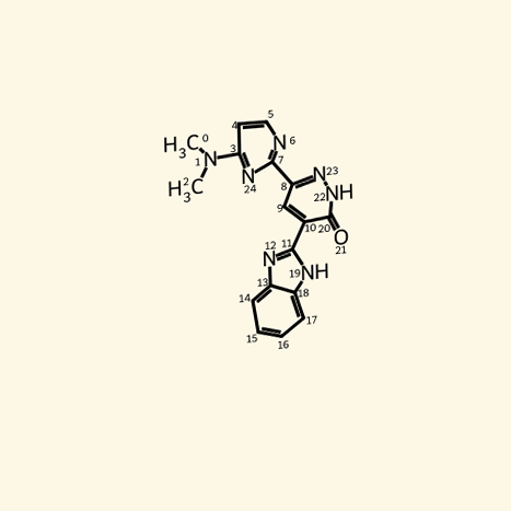 CN(C)c1ccnc(-c2cc(-c3nc4ccccc4[nH]3)c(=O)[nH]n2)n1